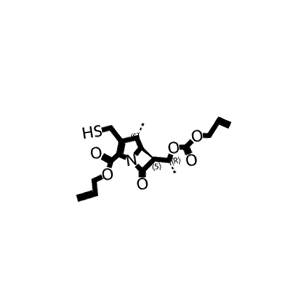 C=CCOC(=O)O[C@H](C)[C@H]1C(=O)N2C(C(=O)OCC=C)=C(CS)[C@H](C)C12